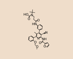 COCOc1ccccc1-c1nc(NC(=O)c2ccco2)c(C#N)c(-c2cccc(NC(=O)CCN(C(=O)O)C(C)(C)C)c2)c1C